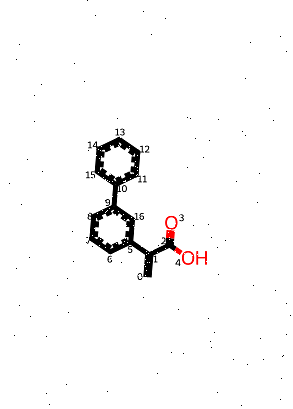 C=C(C(=O)O)c1cccc(-c2ccccc2)c1